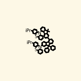 CC(C)c1ccc2c(c1)Sc1ccccc1N2c1ccc2c(c1)C(c1ccccc1)(c1ccccc1)c1cccc(-c3ccc4c(c3)C(C)(C)c3cccc(N5c6ccccc6Sc6cc(C(C)C)ccc65)c3-4)c1-2